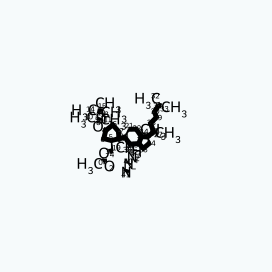 CC(=O)OC[C@H]1CC(O[Si](C)(C)C(C)(C)C)CC[C@]1(C)[C@H]1CC[C@]2(C)[C@@H]([C@H](C)CCCC(C)C)CC[C@H]2[C@@H]1CN=[N+]=[N-]